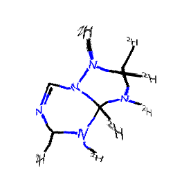 [2H]C1N=CN2N([2H])C([2H])([2H])N([2H])C2([2H])N1[2H]